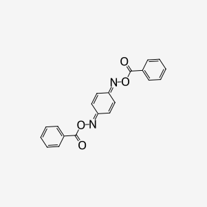 O=C(ON=C1C=CC(=NOC(=O)c2ccccc2)C=C1)c1ccccc1